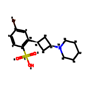 O=S(=O)(O)c1ccc(Br)cc1[C@H]1C[C@@H](N2CCCCC2)C1